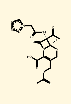 CC(=O)OCC1=C(C(=O)O)N2C(=O)[C@@](NC(=O)Cn3cnnn3)(C(C)=O)[C@H]2SC1